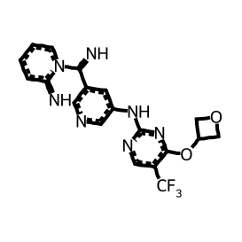 N=C(c1cncc(Nc2ncc(C(F)(F)F)c(OC3COC3)n2)c1)n1ccccc1=N